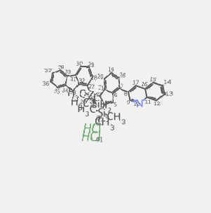 C[Si](C)(C)C1=Cc2c(-c3cnc4ccccc4c3)cccc2[CH]1[Zr]([CH3])([CH3])(=[SiH2])[c]1cccc2c1Cc1ccccc1-2.Cl.Cl